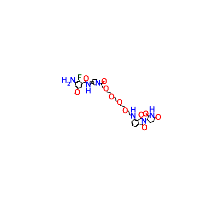 COc1cc(N)c(F)c(C(=O)N[C@H]2CCN(C(=O)COCCOCCOCCOCCNc3cccc4c3C(=O)N(C3CCC(=O)NC3=O)C4=O)C2)c1